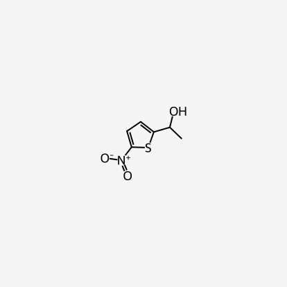 CC(O)c1ccc([N+](=O)[O-])s1